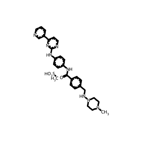 CN1CCN(NCc2ccc(C(=O)Nc3ccc(Nc4nccc(-c5cccnc5)n4)cc3)cc2)CC1.CS(=O)(=O)O